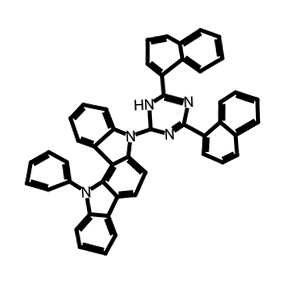 c1ccc(-n2c3ccccc3c3ccc4c(c5ccccc5n4C4N=C(c5cccc6ccccc56)N=C(c5cccc6ccccc56)N4)c32)cc1